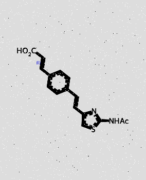 CC(=O)Nc1nc(C=Cc2ccc(/C=C/C(=O)O)cc2)cs1